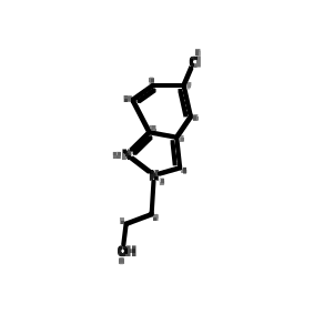 OCCn1cc2cc(Cl)ccc2n1